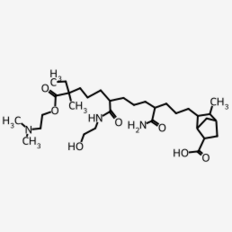 CCC(C)(CCCC(CCCC(CCCC1C(C)C2CC(C(=O)O)C1C2)C(N)=O)C(=O)NCCO)C(=O)OCCN(C)C